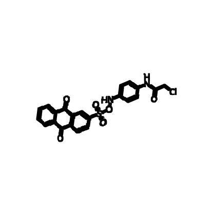 O=C(CCl)Nc1ccc(NOS(=O)(=O)c2ccc3c(c2)C(=O)c2ccccc2C3=O)cc1